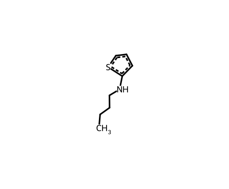 CCCCNc1cccs1